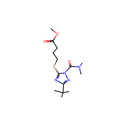 COC(=O)CCCSc1nc(C(C)(C)C)nn1C(=O)N(C)C